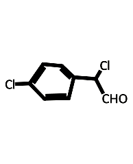 O=CC(Cl)c1ccc(Cl)cc1